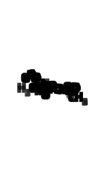 C[C@H](CC(=O)N1CCC(O)(Cn2cnc3c(-c4ccc5c(c4)C(=O)CC5)n(C)nc3c2=O)CC1)c1ccccc1